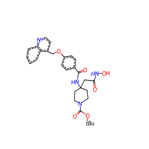 CC(C)(C)OC(=O)N1CCC(CC(=O)NO)(NC(=O)c2ccc(OCc3ccnc4ccccc34)cc2)CC1